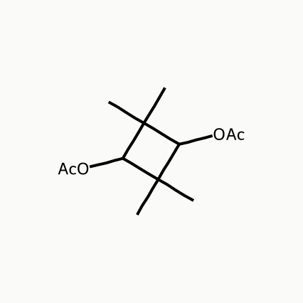 CC(=O)OC1C(C)(C)C(OC(C)=O)C1(C)C